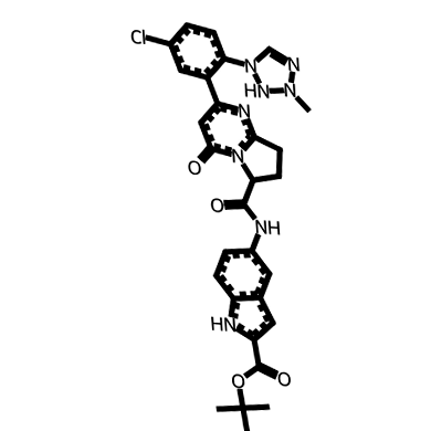 CN1N=CN(c2ccc(Cl)cc2-c2cc(=O)n3c(n2)CCC3C(=O)Nc2ccc3[nH]c(C(=O)OC(C)(C)C)cc3c2)N1